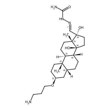 C[C@]12CC[C@H](OCCCN)C[C@H]1CC[C@@H]1[C@@H]2CC[C@]2(C)[C@@](O)(/C=N/NC(N)=O)CC[C@]12O